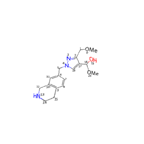 COCc1nn(Cc2ccc3c(c2)CNCC3)cc1C(O)OC